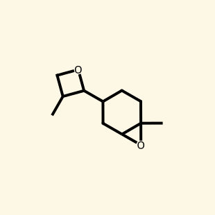 CC1COC1C1CCC2(C)OC2C1